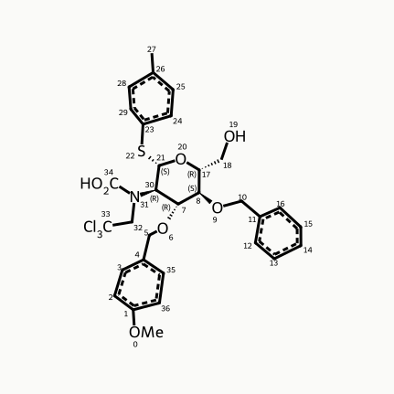 COc1ccc(CO[C@H]2[C@H](OCc3ccccc3)[C@@H](CO)O[C@@H](Sc3ccc(C)cc3)[C@@H]2N(CC(Cl)(Cl)Cl)C(=O)O)cc1